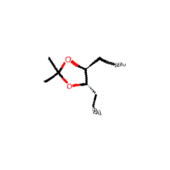 CCC(C)C[C@@H]1OC(C)(C)O[C@H]1CC(C)CC